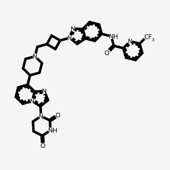 O=C1CCN(c2cnc3c(C4CCN(CC5CC(n6cc7cc(NC(=O)c8cccc(C(F)(F)F)n8)ccc7n6)C5)CC4)cccn23)C(=O)N1